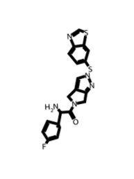 NC(C(=O)N1Cc2cn(Sc3ccc4ncsc4c3)nc2C1)c1ccc(F)cc1